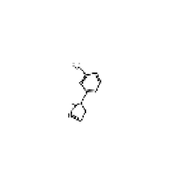 FC(F)(F)c1cccc(C2C[C]=NO2)c1